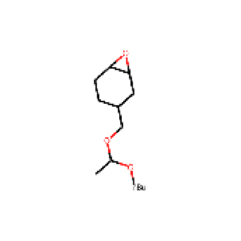 CCCCOC(C)OCC1CCC2OC2C1